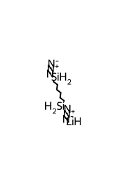 [LiH].[N-]=[N+]=N[SiH2]CCCCCC[SiH2]N=[N+]=[N-]